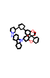 C1=CCC2Oc3cc(-n4c5ccccc5c5ccccc54)ccc3C3(C2=C1)C1=C(C=CCC1)Oc1cc(C2CC=CC(C4=CC=CNC4)C2)ccc13